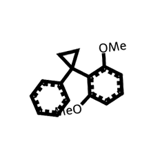 COc1cccc(OC)c1C1(c2ccccc2)CC1